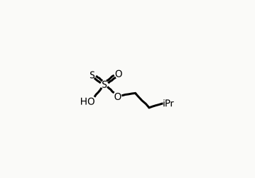 CC(C)CCOS(=O)(O)=S